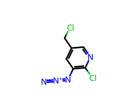 [N-]=[N+]=Nc1cc(CCl)cnc1Cl